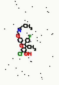 CCC1CN(CCOc2ccc([C@@H]3Oc4cc(Cl)c(O)cc4C(C)=C3c3ccc(F)cc3)cc2)C1